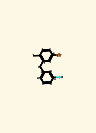 Cc1ccc(Br)cc1Cc1cc[c]c(F)c1